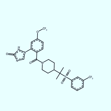 CC(C)(C1CCN(C(=O)c2ccc(OC(F)(F)F)cc2-n2cnc(=O)[nH]2)CC1)S(=O)(=O)c1cccc(C(F)(F)F)c1